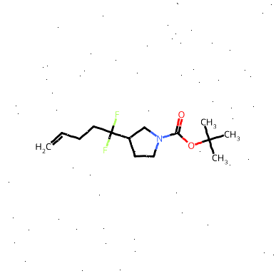 C=CCCC(F)(F)C1CCN(C(=O)OC(C)(C)C)C1